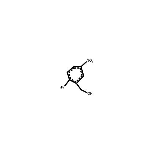 CC(C)c1ccc([N+](=O)[O-])cc1[CH]O